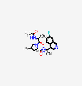 CC(C)C1C[C@@H](C(=O)N[C@@H](C#N)c2cncc3cc(F)ccc23)N(C(=O)[C@@H](NC(=O)C(F)(F)F)C(C)(C)C)C1